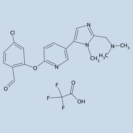 CN(C)Cc1ncc(-c2ccc(Oc3cc(Cl)ccc3C=O)nc2)n1C.O=C(O)C(F)(F)F